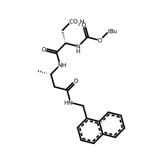 C[C@@H](CC(=O)NCc1cccc2ccccc12)NC(=O)[C@H](CC(=O)O)NC(=O)OC(C)(C)C